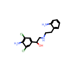 Nc1ccccc1CCNCC(O)c1cc(Cl)c(N)c(Cl)c1